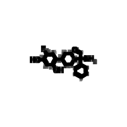 N[C@@](C=O)(c1ccccc1)N1CCC(c2cc(F)c(O)cc2O)CC1